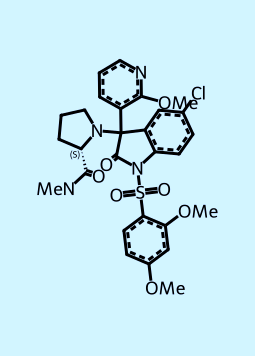 CNC(=O)[C@@H]1CCCN1C1(c2cccnc2OC)C(=O)N(S(=O)(=O)c2ccc(OC)cc2OC)c2ccc(Cl)cc21